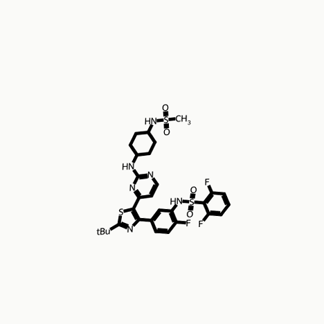 CC(C)(C)c1nc(-c2ccc(F)c(NS(=O)(=O)c3c(F)cccc3F)c2)c(-c2ccnc(NC3CCC(NS(C)(=O)=O)CC3)n2)s1